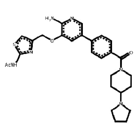 CC(=O)Nc1nc(COc2cc(-c3ccc(C(=O)N4CCC(N5CCCC5)CC4)cc3)cnc2N)cs1